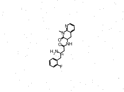 CN1C(=O)C(NC(=O)C[C@H](N)Cc2ccccc2F)Cc2cccnc21